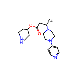 CC(=O)C(CC(=O)OC1CCNCC1)N1CCN(c2ccncc2)CC1